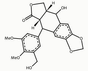 COc1cc(C2c3cc4c(cc3C(O)[C@H]3COC(=O)[C@@H]23)OCO4)cc(CO)c1OC